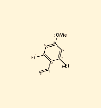 C=Cc1c(CC)cc(OC)cc1CC